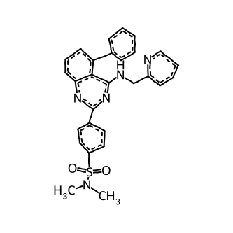 CN(C)S(=O)(=O)c1ccc(-c2nc(NCc3ccccn3)c3c(-c4ccccc4)cccc3n2)cc1